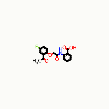 CC(=O)c1cc(F)ccc1OCC(=O)Nc1ccccc1C(=O)O